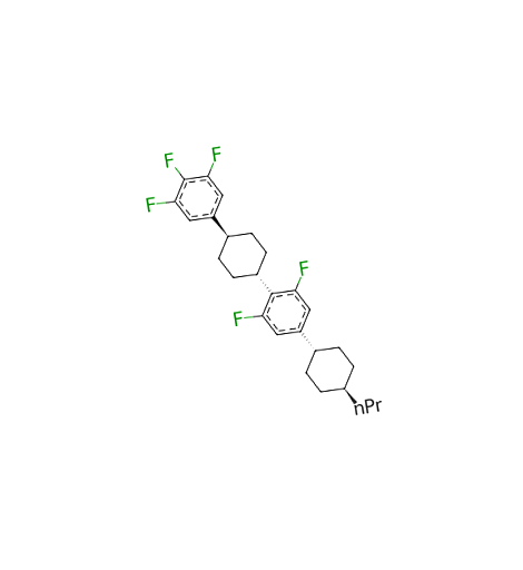 CCC[C@H]1CC[C@H](c2cc(F)c([C@H]3CC[C@H](c4cc(F)c(F)c(F)c4)CC3)c(F)c2)CC1